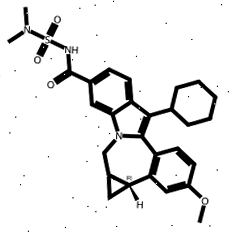 COc1ccc2c(c1)[C@@H]1CC1Cn1c-2c(C2CCCCC2)c2ccc(C(=O)NS(=O)(=O)N(C)C)cc21